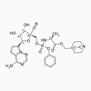 C[C@H](NP(=O)(OC[C@@]1(C#N)O[C@@H](c2ccc3c(N)ncnn23)[C@H](O)[C@@H]1O)Oc1ccccc1)C(=O)OCC12CCN(CC1)CC2